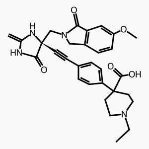 C=C1NC(=O)[C@@](C#Cc2ccc(C3(C(=O)O)CCN(CC)CC3)cc2)(CN2Cc3ccc(OC)cc3C2=O)N1